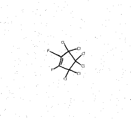 FC1=C(F)C(Cl)(Cl)C(Cl)(Cl)C1(Cl)Cl